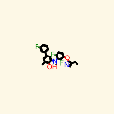 CCC1=CN=C1Oc1ccc(F)c(N(C)c2cc(-c3cccc(F)c3)cc(C)c2O)c1F